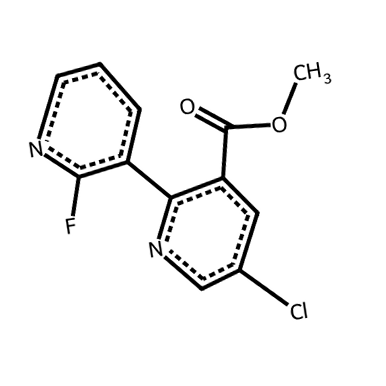 COC(=O)c1cc(Cl)cnc1-c1cccnc1F